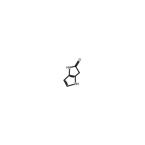 O=C1Cc2[nH]ccc2N1